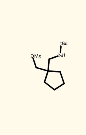 COCC1(CNC(C)(C)C)CCCC1